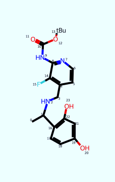 CC(NCc1ccnc(NC(=O)OC(C)(C)C)c1F)c1ccc(O)cc1O